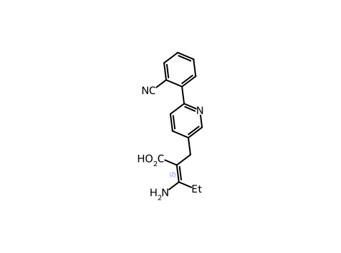 CC/C(N)=C(\Cc1ccc(-c2ccccc2C#N)nc1)C(=O)O